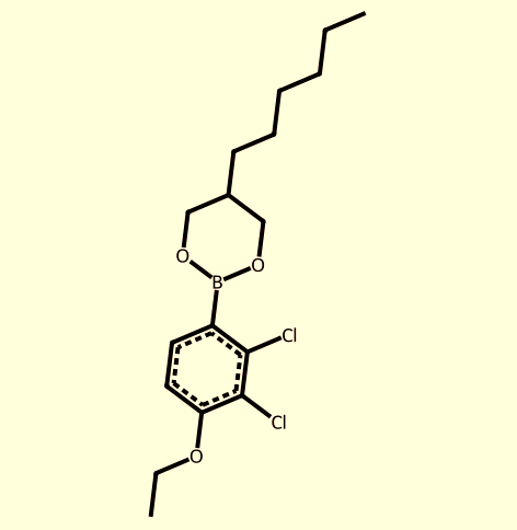 CCCCCCC1COB(c2ccc(OCC)c(Cl)c2Cl)OC1